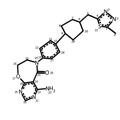 Cc1nnc(CC2CCC(c3ccc(N4CCOc5ncnc(N)c5C4=O)cc3)CC2)s1